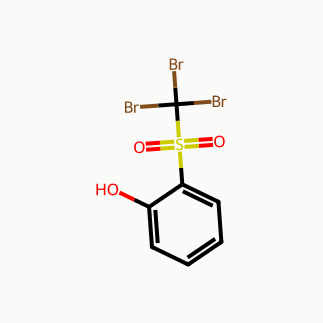 O=S(=O)(c1ccccc1O)C(Br)(Br)Br